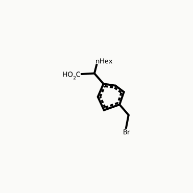 CCCCCCC(C(=O)O)c1ccc(CBr)cc1